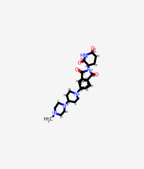 CN1CCN(C2CCN(c3ccc4c(c3)C(=O)N(C3CCC(=O)NC3=O)C4=O)CC2)CC1